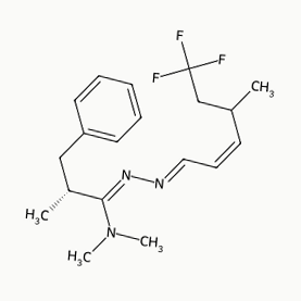 CC(\C=C/C=N/N=C(/[C@H](C)Cc1ccccc1)N(C)C)CC(F)(F)F